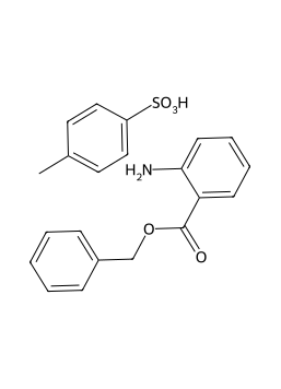 Cc1ccc(S(=O)(=O)O)cc1.Nc1ccccc1C(=O)OCc1ccccc1